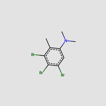 Cc1c(N(C)C)cc(Br)c(Br)c1Br